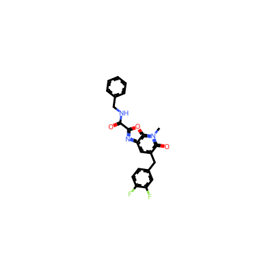 Cn1c(=O)c(Cc2ccc(F)c(F)c2)cc2nc(C(=O)NCc3ccccc3)oc21